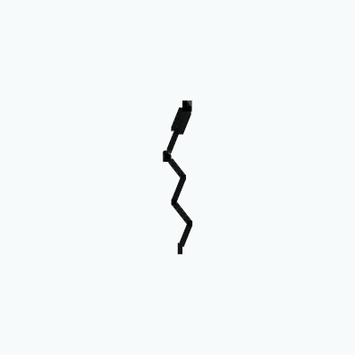 N#CSCCCI